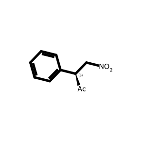 CC(=O)[C@H](C[N+](=O)[O-])c1ccccc1